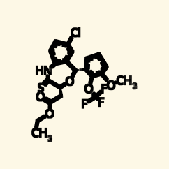 CCOC(=O)C[C@@H]1O[C@@H](c2cccc(OC)c2OC(F)(F)F)c2cc(Cl)ccc2NC1=S